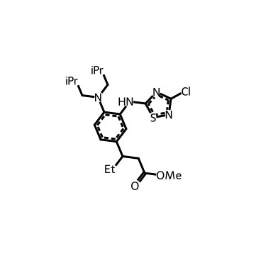 CCC(CC(=O)OC)c1ccc(N(CC(C)C)CC(C)C)c(Nc2nc(Cl)ns2)c1